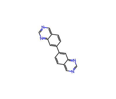 c1ncc2ccc(-c3ccc4cncnc4c3)cc2n1